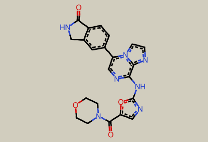 O=C1NCc2cc(-c3cnc(Nc4ncc(C(=O)N5CCOCC5)o4)c4nccn34)ccc21